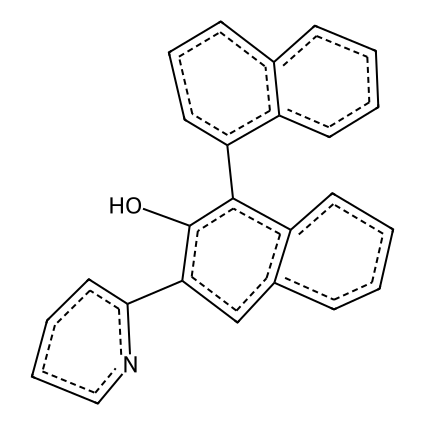 Oc1c(-c2ccccn2)cc2ccccc2c1-c1cccc2ccccc12